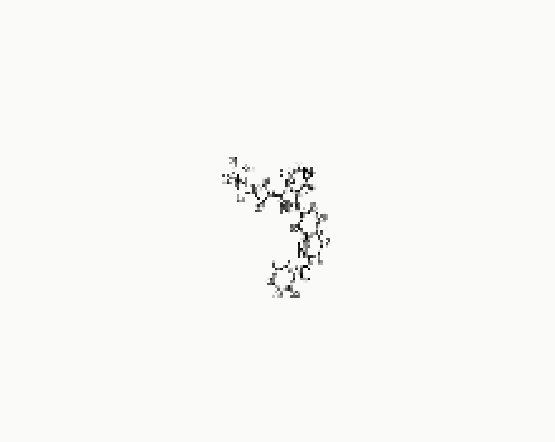 c1ccc(Oc2ccc3ccc(-c4nc(C5CC(CN6CCC6)C5)n5ccncc45)cc3n2)cc1